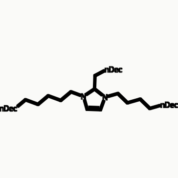 CCCCCCCCCCCCCCCN1C=CN(CCCCCCCCCCCCCC)C1CCCCCCCCCCC